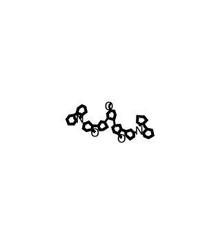 COc1ccc(-c2ccc3oc4ccc(-n5c6ccccc6c6ccccc65)cc4c3c2)c(-c2ccc3oc4ccc(-n5c6ccccc6c6ccccc65)cc4c3c2)c1